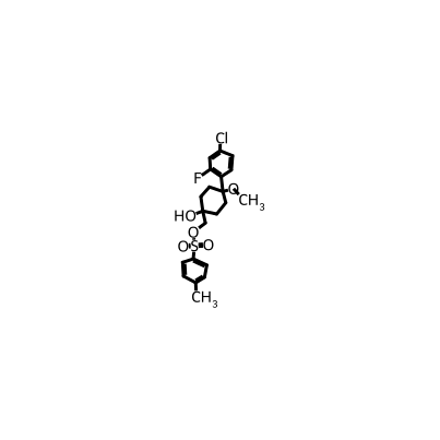 COC1(c2ccc(Cl)cc2F)CCC(O)(COS(=O)(=O)c2ccc(C)cc2)CC1